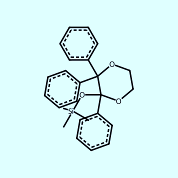 C[Si](C)(C)OC1(c2ccccc2)OCCOC1(c1ccccc1)c1ccccc1